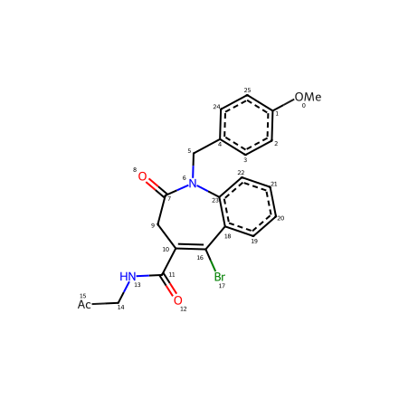 COc1ccc(CN2C(=O)CC(C(=O)NCC(C)=O)=C(Br)c3ccccc32)cc1